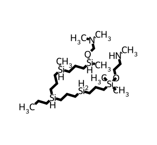 CCC[SiH](CCC[SiH2]CCC[Si](C)(C)OCCNC)CCC[SiH](C)CCC[SiH](C)OCN(C)C